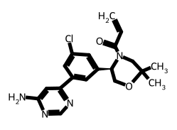 C=CC(=O)N1CC(C)(C)OC[C@H]1c1cc(Cl)cc(-c2cc(N)ncn2)c1